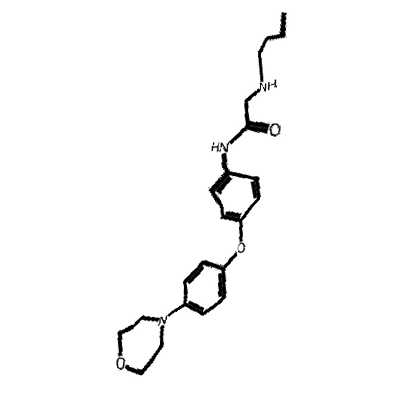 CCCNCC(=O)Nc1ccc(Oc2ccc(N3CCOCC3)cc2)cc1